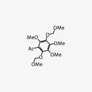 COCOc1c(OC)c(OC)c(OCOC)c(C(C)=O)c1OC